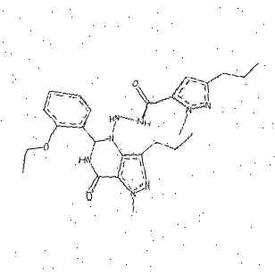 CCCc1cc(C(=O)NNN2c3c(CCC)nn(C)c3C(=O)NC2c2ccccc2OCC)n(C)n1